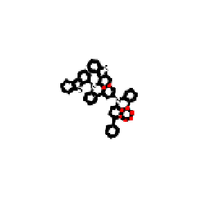 c1ccc(-c2ccccc2N(c2cccc(-c3ccccc3N(c3cccc4c3sc3ccccc34)c3cccc4sc5ccccc5c34)c2)c2ccc(-c3ccccc3)c3ccccc23)cc1